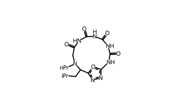 CCCN1CC(=O)NC(=O)NC(=O)NC(=O)Nc2nnc(o2)C1CC(C)C